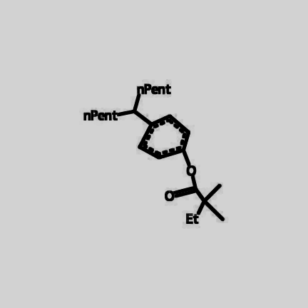 CCCCCC(CCCCC)c1ccc(OC(=O)C(C)(C)CC)cc1